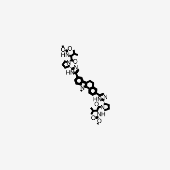 COC(=O)NC(C(=O)N1CCC[C@H]1c1ncc(-c2ccc3c(c2)c2c(n3C)-c3ccc(-c4cnc([C@@H]5CCCN5C(=O)[C@@H](NC(=O)OC)C(C)C)[nH]4)cc3CC2)[nH]1)C(C)C